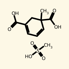 CC1(C(=O)O)C=CC=C(C(=O)O)C1.CS(=O)(=O)O